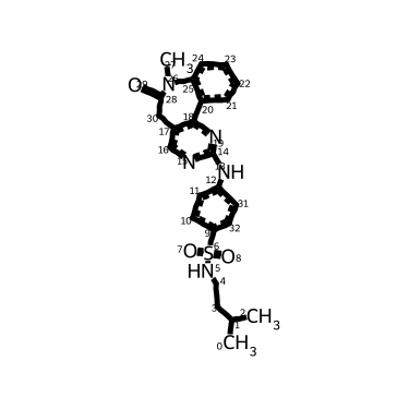 CC(C)CCNS(=O)(=O)c1ccc(Nc2ncc3c(n2)-c2ccccc2N(C)C(=O)C3)cc1